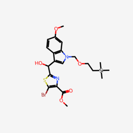 COC(=O)c1nc(C(O)c2cn(COCC[Si](C)(C)C)c3cc(OC)ccc23)sc1Br